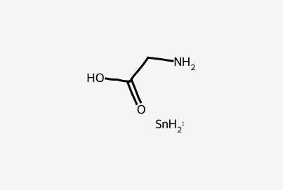 NCC(=O)O.[SnH2]